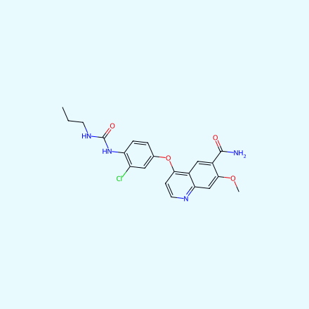 CCCNC(=O)Nc1ccc(Oc2ccnc3cc(OC)c(C(N)=O)cc23)cc1Cl